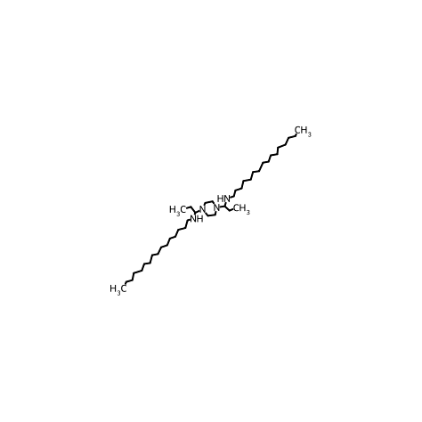 CCCCCCCCCCCCCCCCNC(CC)N1CCN(C(CC)NCCCCCCCCCCCCCCCC)CC1